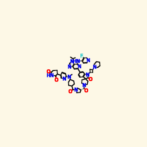 CC(C)n1cnc2cc(-c3ccc4c(c3)N(C3CC(N5CCCCC5)C3)C(=O)C43CCN(C(=O)[C@@H]4CCN(C(=O)C5CCC(N(C)c6ccc(C7CCC(=O)NC7=O)cn6)CC5)C4)CC3)nc(Nc3ccncc3F)c21